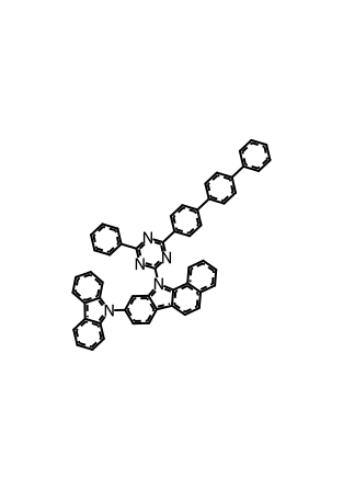 c1ccc(-c2ccc(-c3ccc(-c4nc(-c5ccccc5)nc(-n5c6cc(-n7c8ccccc8c8ccccc87)ccc6c6ccc7ccccc7c65)n4)cc3)cc2)cc1